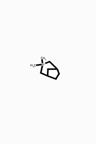 C[N+]1(C)CC2[CH]C(CC2)C1